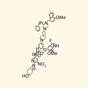 COc1nc2[nH]cc(F)c2cc1Oc1cc(N2CCC3(CC2)CC(N2CCN(Cc4ccc(OC)c5sc(C)cc45)C[C@H]2c2ccccc2C(C)C)C3)ccc1C(=O)NS(=O)(=O)c1cnc(NCC2CCC(C)(O)CC2)c([N+](=O)[O-])c1